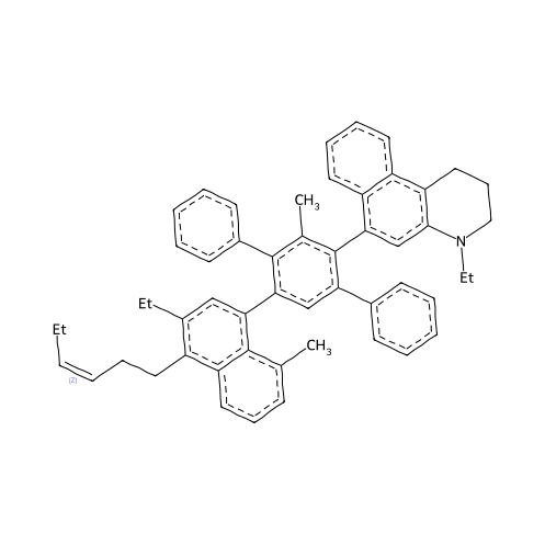 CC/C=C\CCc1c(CC)cc(-c2cc(-c3ccccc3)c(-c3cc4c(c5ccccc35)CCCN4CC)c(C)c2-c2ccccc2)c2c(C)cccc12